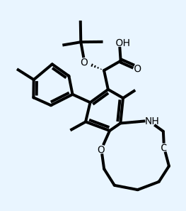 Cc1ccc(-c2c(C)c3c(c(C)c2[C@H](OC(C)(C)C)C(=O)O)NCCCCCCCO3)cc1